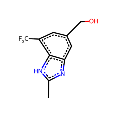 Cc1nc2cc(CO)cc(C(F)(F)F)c2[nH]1